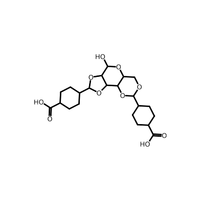 O=C(O)C1CCC(C2OCC3OC(O)C4OC(C5CCC(C(=O)O)CC5)OC4C3O2)CC1